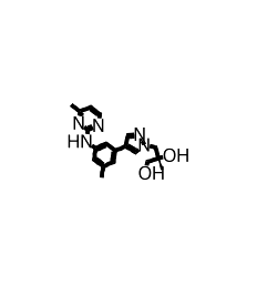 Cc1cc(Nc2nccc(C)n2)cc(-c2cnn(C[C@](C)(O)CO)c2)c1